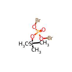 C[Si](C)(C)OP(=O)(OBr)OBr